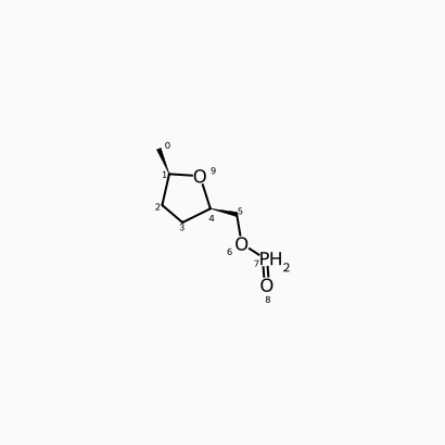 C[C@@H]1CC[C@H](CO[PH2]=O)O1